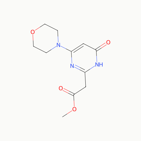 COC(=O)Cc1nc(N2CCOCC2)cc(=O)[nH]1